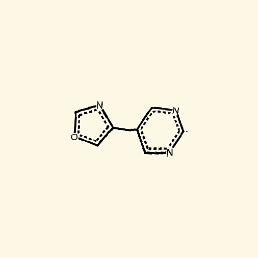 [c]1ncc(-c2cocn2)cn1